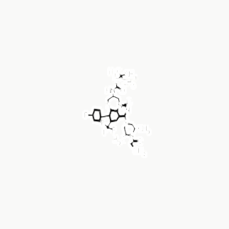 C=CC(=O)N1[C@H](C)CN(c2nc(=O)n3c4c(c(-c5ccc(F)cc5)c(C(F)(F)F)cc24)SC[C@@H](NC(=O)OC(C)(C)C)C3)C[C@@H]1C